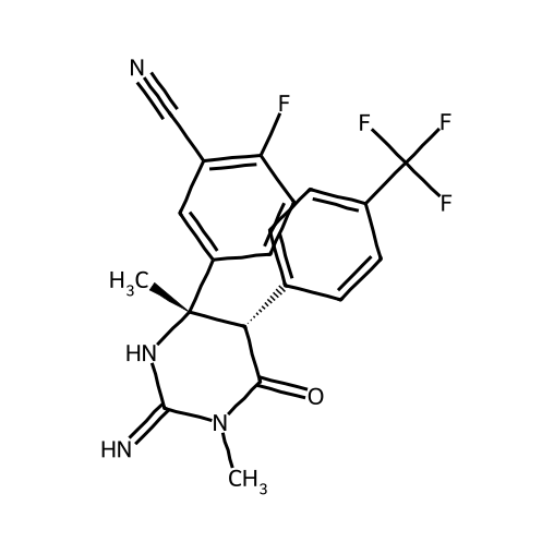 CN1C(=N)N[C@](C)(c2ccc(F)c(C#N)c2)[C@H](c2ccc(C(F)(F)F)cc2)C1=O